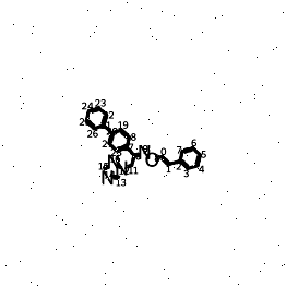 C(=Cc1ccccc1)ON=C(Cn1cncn1)c1ccc(-c2ccccc2)cc1